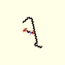 CCCCC/C=C\C/C=C\CCCCCCCCC(CCCCCCCC/C=C\C/C=C\CCCCC)OC(=O)N(C)CCCOS(C)(=O)=O